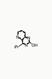 CC(C)c1nc(O)nc2cccnc12